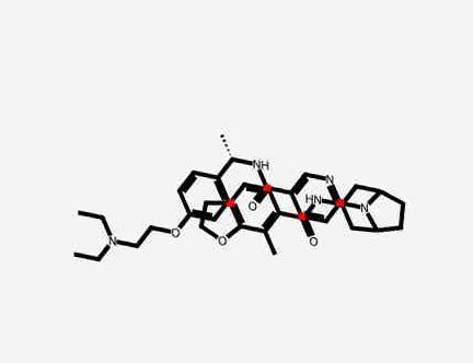 CCN(CC)CCOc1ccc([C@H](C)NC(=O)c2ccc(N3C4CCC3CC(NC(=O)c3ccc5c(c3C)OCC5)C4)nc2)cc1